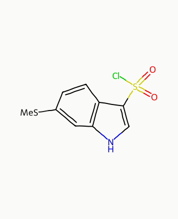 CSc1ccc2c(S(=O)(=O)Cl)c[nH]c2c1